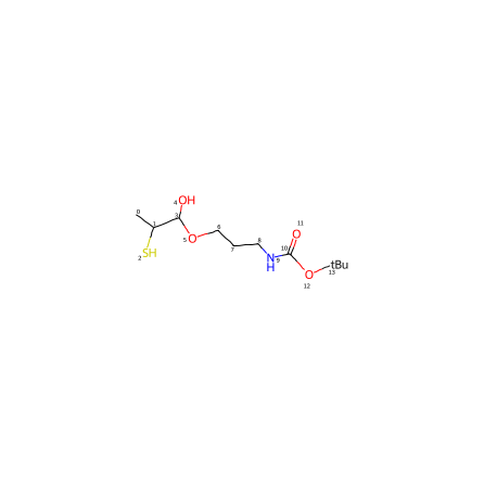 CC(S)C(O)OCCCNC(=O)OC(C)(C)C